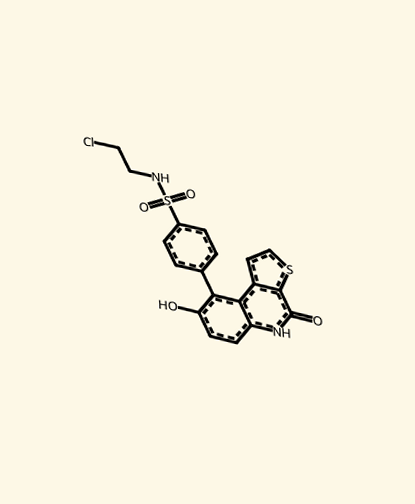 O=c1[nH]c2ccc(O)c(-c3ccc(S(=O)(=O)NCCCl)cc3)c2c2ccsc12